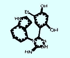 CCc1cc(-c2n[nH]c(=N)n2-c2cccc3[nH]ccc23)c(O)cc1O